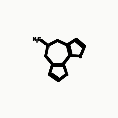 CN1Cc2ccsc2-c2sccc2C1